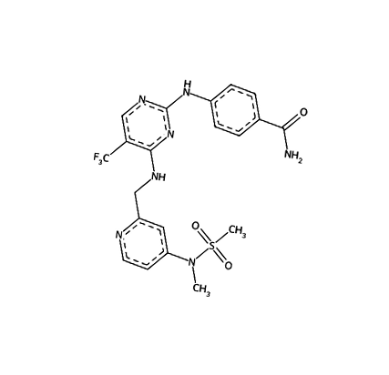 CN(c1ccnc(CNc2nc(Nc3ccc(C(N)=O)cc3)ncc2C(F)(F)F)c1)S(C)(=O)=O